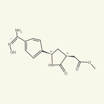 COC(=O)C[C@@H]1C[C@H](c2ccc(/C(N)=N\O)cc2)NC1=O